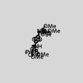 COC[C@H]1C[C@@H](c2ncc(-c3cc4c5c(c3)OCc3cc(-c6cnc([C@@H]7C[C@H](COC)CN7C(=O)[C@@H](NC(=O)OC)C(C)C)[nH]6)cc(c3-5)OC4)[nH]2)N(C(=O)C(NC(=O)OC)C(C)C)C1